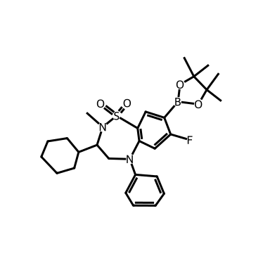 CN1C(C2CCCCC2)CN(c2ccccc2)c2cc(F)c(B3OC(C)(C)C(C)(C)O3)cc2S1(=O)=O